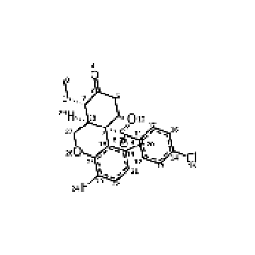 CC[C@@H]1C(=O)CC[C@@]2(S(=O)(=O)c3ccc(Cl)cc3)c3c(F)ccc(F)c3OC[C@@H]12